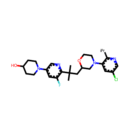 CC(C)c1ncc(Cl)cc1N1CCOC(CC(C)(C)c2ncc(N3CCC(O)CC3)cc2F)C1